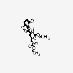 CCOC(=O)NCCCC(NC(=O)OCC)C(=O)ON1C(=O)CCC1=O